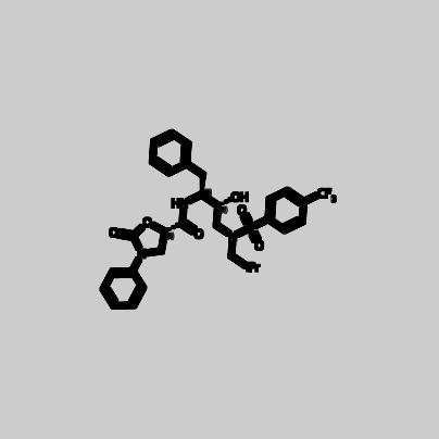 CC(C)CN(C[C@@H](O)[C@H](Cc1ccccc1)NC(=O)[C@@H]1CN(c2ccccc2)C(=O)O1)S(=O)(=O)c1ccc(C(F)(F)F)cc1